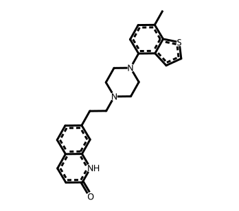 Cc1ccc(N2CCN(CCc3ccc4ccc(=O)[nH]c4c3)CC2)c2ccsc12